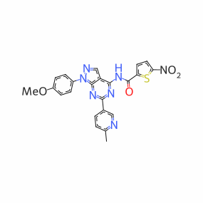 COc1ccc(-n2ncc3c(NC(=O)c4ccc([N+](=O)[O-])s4)nc(-c4ccc(C)nc4)nc32)cc1